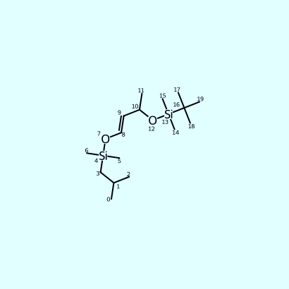 CC(C)C[Si](C)(C)OC=CC(C)O[Si](C)(C)C(C)(C)C